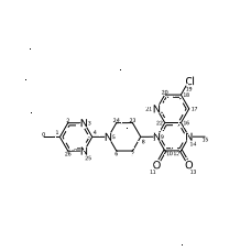 Cc1cnc(N2CCC(n3c(=O)c(=O)n(C)c4cc(Cl)cnc43)CC2)nc1